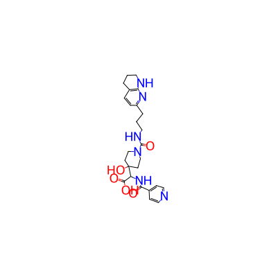 O=C(NC(C(=O)O)C1(O)CCN(C(=O)NCCCc2ccc3c(n2)NCCC3)CC1)c1ccncc1